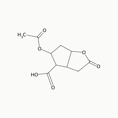 CC(=O)OC1CC2OC(=O)CC2C1C(=O)O